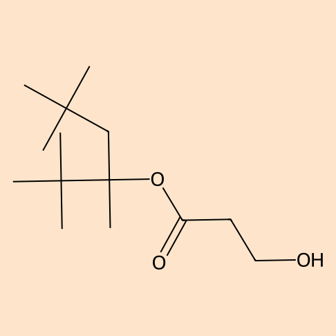 CC(C)(C)CC(C)(OC(=O)CCO)C(C)(C)C